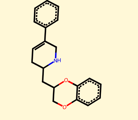 C1=C(c2ccccc2)CNC(CC2COc3ccccc3O2)C1